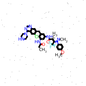 C=NN(/C(=C(\C)C(=O)Nc1cc(Cc2cc3ncnc(N4CCNCC4)c3cc2Cl)cc(NC(=O)CC)c1)C(F)(F)F)c1ccc(OC)cc1